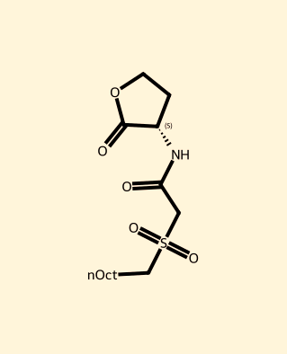 CCCCCCCCCS(=O)(=O)CC(=O)N[C@H]1CCOC1=O